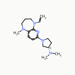 C=CN1CCCN(C)c2ccc(N3CC[C@H](N(C)C)C3)nc21